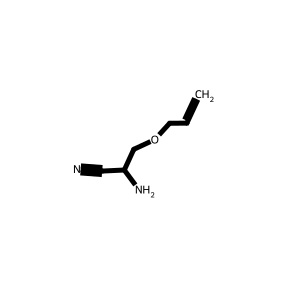 C=CCOCC(N)C#N